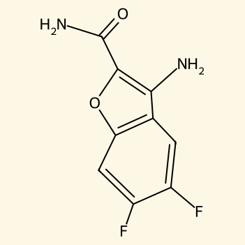 NC(=O)c1oc2cc(F)c(F)cc2c1N